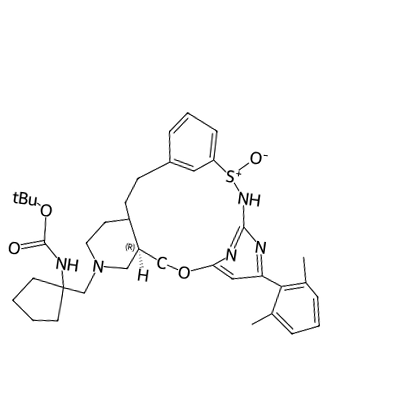 Cc1cccc(C)c1-c1cc2nc(n1)N[S+]([O-])c1cccc(c1)CCC1CCN(CC3(NC(=O)OC(C)(C)C)CCCC3)C[C@@H]1CO2